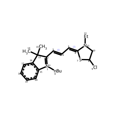 CCCC[N+]1=C(/C=C/C=C2\SC(Cl)CN2CC)C(C)(C)c2ccccc21